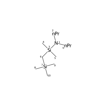 CCCN(CCC)[Si](C)(C)C[Si](C)(C)C